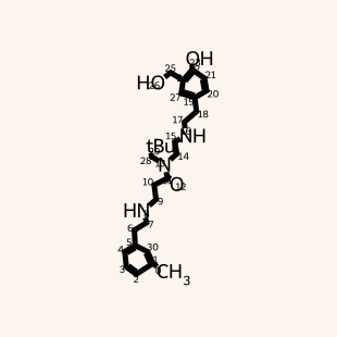 Cc1cccc(CCNCCC(=O)N(CCNCCc2ccc(O)c(CO)c2)CC(C)(C)C)c1